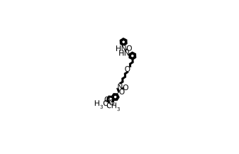 CC1(C)OCc2cc([C@@H]3CN(CCCCCCOCCCc4cccc(NC(=O)Nc5ccccc5)c4)C(=O)O3)ccc2O1